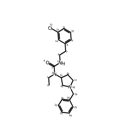 CCN(C(=O)NCCc1cccc(Cl)c1)C1CCN(Cc2ccccc2)C1